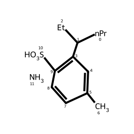 CCCC(CC)c1cc(C)ccc1S(=O)(=O)O.N